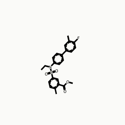 CCN(c1ccc(-c2ccc(F)c(C)c2)cc1)S(=O)(=O)c1ccc(C)c(C(=O)OC)c1